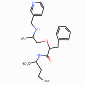 CCC(C)C(COC(Cc1ccccc1)C(=O)NC(CCSC)C(=O)O)NCc1cccnc1